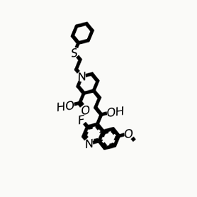 COc1ccc2ncc(F)c(C(O)CCC3CCN(CCSC4CCCCC4)CC3C(=O)O)c2c1